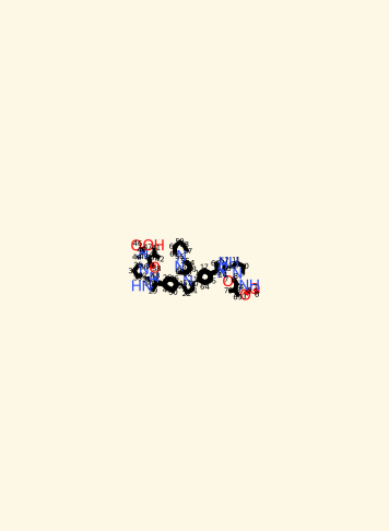 COC(=O)N[C@H](C(=O)N1CCC[C@H]1c1nc(-c2ccc([C@@H]3CC[C@@H](c4ccc(-c5c[nH]c([C@@H]6CCCN6C(=O)[C@H](C(C)C)N(C)C(=O)O)n5)cc4)N3c3ccc(N4CCCCC4)nc3)cc2)c[nH]1)C(C)C